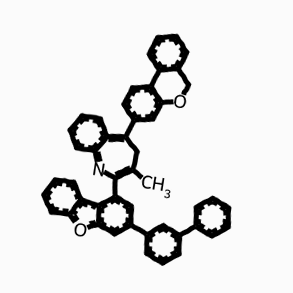 CC1=C(c2cc(-c3cccc(-c4ccccc4)c3)cc3oc4ccccc4c23)N=c2ccccc2=C(c2ccc3c(c2)OCc2ccccc2-3)C1